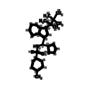 Cc1ccc(S(=O)(=O)NC(c2cccs2)c2cn([Si](C)(C)C(C)(C)C)c3ccccc23)cc1